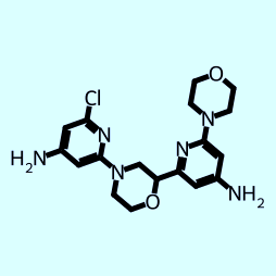 Nc1cc(Cl)nc(N2CCOC(c3cc(N)cc(N4CCOCC4)n3)C2)c1